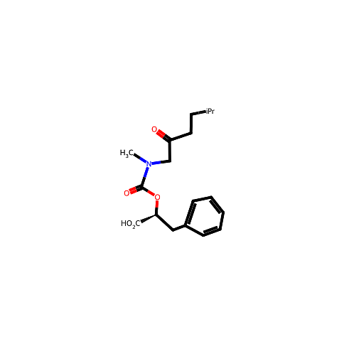 CC(C)CCC(=O)CN(C)C(=O)O[C@@H](Cc1ccccc1)C(=O)O